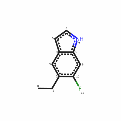 CCc1cc2cc[nH]c2cc1F